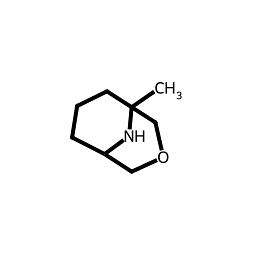 CC12CCCC(COC1)N2